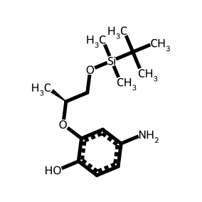 C[C@@H](CO[Si](C)(C)C(C)(C)C)Oc1cc(N)ccc1O